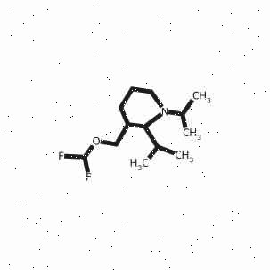 CC(C)C1C(COC(F)F)CCCN1C(C)C